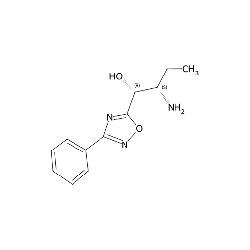 CC[C@H](N)[C@@H](O)c1nc(-c2ccccc2)no1